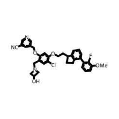 COc1cccc(-c2cccc3c2CCC3CCOc2cc(OCc3cncc(C#N)c3)c(CN3CC(O)C3)cc2Cl)c1F